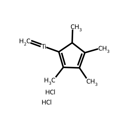 Cl.Cl.[CH2]=[Ti][C]1=C(C)C(C)=C(C)C1C